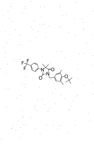 Cc1cc(CN2C(=O)N(c3ccc(C(F)(F)F)cc3)C(C)(C)C2=O)cc(C)c1OC(C)(C)C